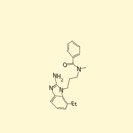 CCc1cccc2nc(N)n(CCCN(C)C(=O)c3ccccc3)c12